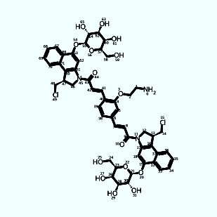 NCCOc1cc(/C=C/C(=O)N2C[C@@H](CCl)c3c2cc(O[C@@H]2O[C@H](CO)[C@H](O)[C@H](O)[C@H]2O)c2ccccc32)ccc1/C=C/C(=O)N1C[C@@H](CCl)c2c1cc(O[C@@H]1O[C@H](CO)[C@H](O)[C@H](O)[C@H]1O)c1ccccc21